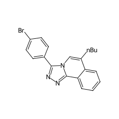 CCCCc1cn2c(-c3ccc(Br)cc3)nnc2c2ccccc12